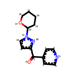 O=C(c1ccncc1)c1ccn(C2CCCCO2)n1